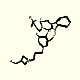 C[C@@H]1Cc2c([nH]c3ccccc23)[C@@H](c2c(F)cc(C=CCN3CC(CF)C3)cc2F)N1CC(C)(C)F